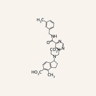 Cc1cccc(CNC(=O)c2cc(CN(CC(=O)O)C3CCc4c3ccc(C(=O)O)c4C)ncn2)c1